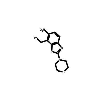 CC(C)Cc1c([N+](=O)[O-])ccc2nc(N3CCOCC3)oc12